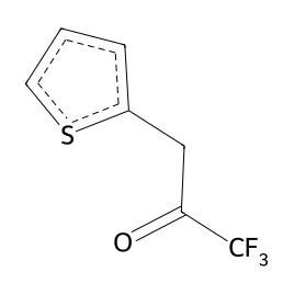 O=C(Cc1cccs1)C(F)(F)F